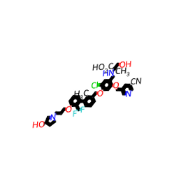 Cc1c(COc2cc(OCc3cncc(C#N)c3)c(CN[C@@](C)(CO)C(=O)O)cc2Cl)cccc1-c1cccc(OCCCN2CC[C@@H](O)C2)c1C(F)F